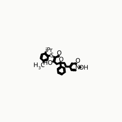 Cc1ccc(C(C)C)c(SC2=C(O)CC(CCc3ccn(O)c(=O)c3)(c3ccccc3)OC2=O)c1